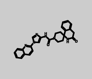 O=C1Cc2ccccc2C2(CCN(C(=O)Nc3cn(-c4ccc5ccccc5n4)cn3)CC2)N1